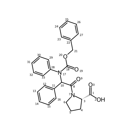 O=C(O)[C@@H]1CCCN1C(=O)C(c1ccccc1)N(C(=O)OCc1ccccc1)c1ccccc1